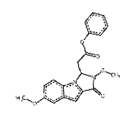 COc1ccc2c(c1)cc1n2C(CC(=O)Oc2ccccc2)N(OC)C1=O